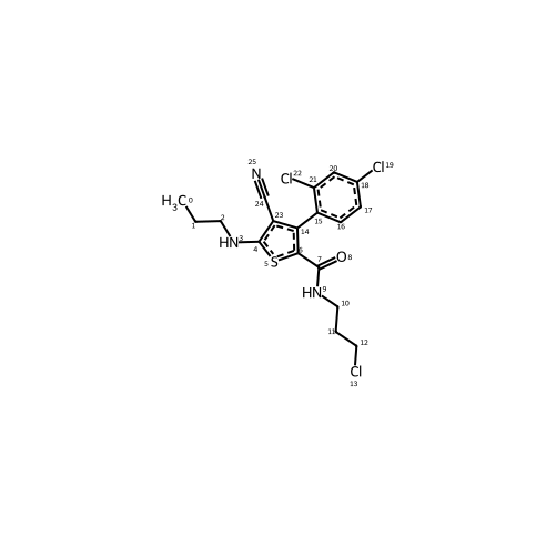 CCCNc1sc(C(=O)NCCCCl)c(-c2ccc(Cl)cc2Cl)c1C#N